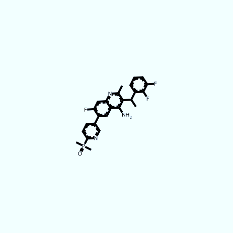 Cc1nc2cc(F)c(-c3ccc(P(C)(C)=O)nc3)cc2c(N)c1C(C)c1cccc(F)c1F